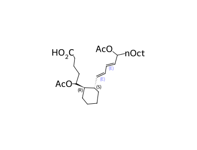 CCCCCCCCC(/C=C/C=C/[C@@H]1CCCC[C@H]1C(CCCC(=O)O)OC(C)=O)OC(C)=O